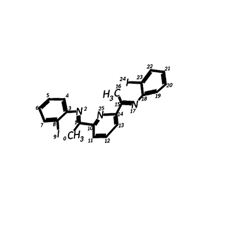 C/C(=N\c1ccccc1I)c1cccc(/C(C)=N/c2ccccc2I)n1